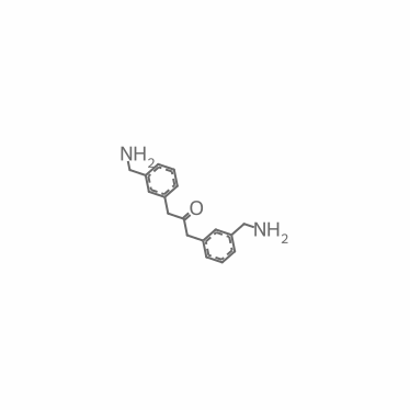 NCc1cccc(CC(=O)Cc2cccc(CN)c2)c1